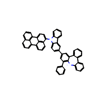 c1ccc(-c2cc(-c3ccc4c(c3)c3ccccc3n4-c3ccc4c5cccc6cccc(c7cccc3c74)c65)cc3c2Nc2ccccc2-c2ccccc2-3)cc1